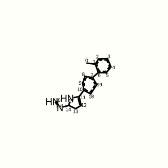 Cc1ccccc1-c1ccc(C2=CCC(N=N)N2)cc1